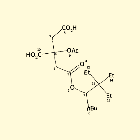 CCCCC(OC(=O)CC(CC(=O)O)(OC(C)=O)C(=O)O)C(CC)(CC)CC